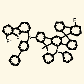 CC(C)c1cccc2c1sc1c(N(c3ccc(-c4ccccc4)cc3)c3ccc4c(c3)C(C)(C)c3c-4cc4c(c3N(c3ccccc3)c3ccccc3)-c3ccccc3C43c4ccccc4-c4c(F)cccc43)cccc12